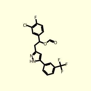 O=COC(Cc1cc(-c2cccc(C(F)(F)F)c2)[nH]n1)c1ccc(F)c(Cl)c1